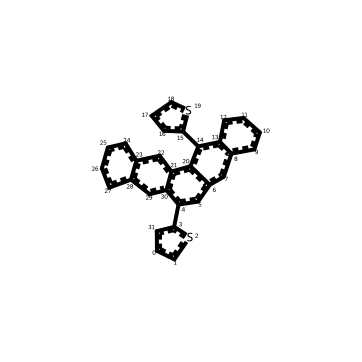 c1csc(-c2cc3cc4ccccc4c(-c4cccs4)c3c3cc4ccccc4cc23)c1